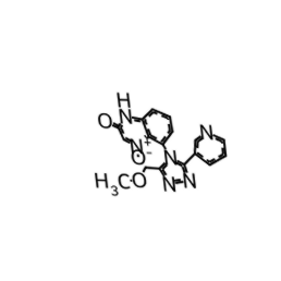 COCc1nnc(-c2cccnc2)n1-c1cccc2[nH]c(=O)c[n+]([O-])c12